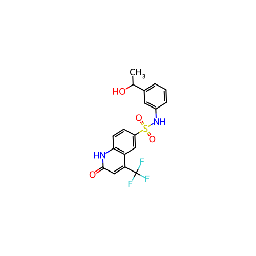 CC(O)c1cccc(NS(=O)(=O)c2ccc3[nH]c(=O)cc(C(F)(F)F)c3c2)c1